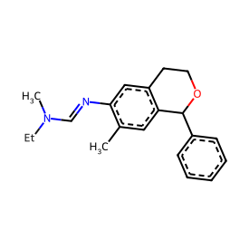 CCN(C)/C=N/c1cc2c(cc1C)C(c1ccccc1)OCC2